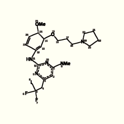 CNc1cc(CC(F)(F)I)nc(NC2=CC(OCCCN3CCCC3)C(OC)C=C2)n1